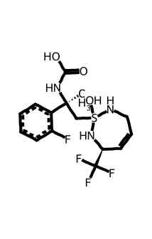 C[C@@](CS1(O)NCC=C[C@@H](C(F)(F)F)N1)(NC(=O)O)c1ccccc1F